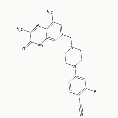 Cc1nc2c(C)cc(CN3CCN(c4ccc(C#N)c(F)c4)CC3)cc2[nH]c1=O